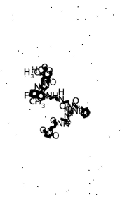 CC[C@@]1(O)C(=O)OCc2c1cc1n(c2=O)Cc2c-1nc1cc(F)c(C)c3c1c2[C@@H](NCCCNC(=O)CNC(=O)[C@H](Cc1ccccc1)NC(=O)CNC(=O)CNC(=O)CCN1C(=O)C=CC1=O)CC3